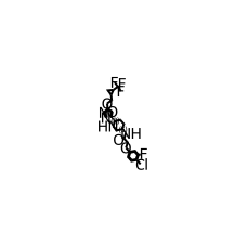 O=C(COc1ccc(Cl)c(F)c1)N[C@H]1CC[C@H](c2nnc(OCC3CC3C(F)(F)F)o2)NC1